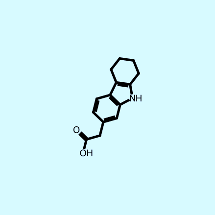 O=C(O)Cc1ccc2c3c([nH]c2c1)CCCC3